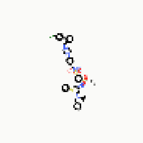 O=C(NS(=O)(=O)c1ccc(N[C@H](CCN(CC2CCCCC2)C2CC2)CSc2ccccc2)c(S(=O)(=O)C(F)(F)F)c1)c1ccc(N2CCN(CC3=C(c4ccc(Cl)cc4)CCCC3)CC2)cc1